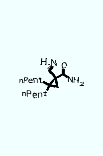 CCCCCC1(CCCCC)CC1(CN)C(N)=O